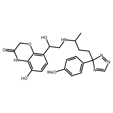 COc1ccc(C2(CCC(C)NCC(O)c3ccc(O)c4c3OCC(=O)N4)N=CN=N2)cc1